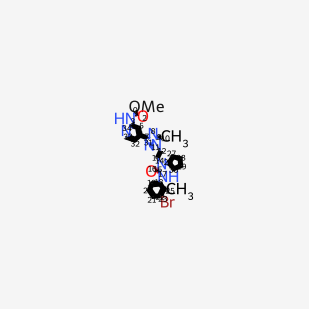 COC(=O)Nc1cc(-c2nc(C)n(CCN(C(=O)Nc3cccc(Br)c3C)C3CCCC3)n2)ccn1